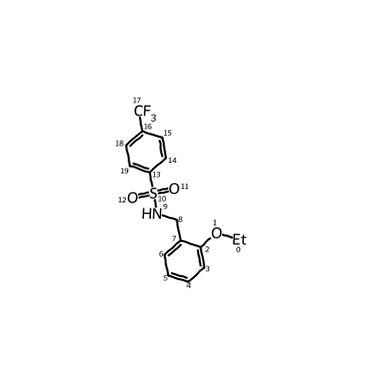 CCOc1ccccc1CNS(=O)(=O)c1ccc(C(F)(F)F)cc1